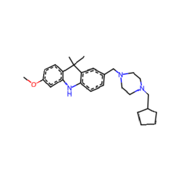 COc1ccc2c(c1)Nc1ccc(CN3CCN(CC4CCCC4)CC3)cc1C2(C)C